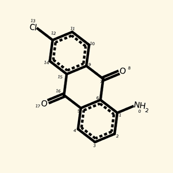 Nc1cccc2c1C(=O)c1ccc(Cl)cc1C2=O